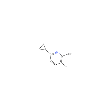 Cc1ccc(C2CC2)nc1C(C)C